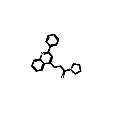 O=C(CCc1cc(-c2ccccc2)nc2ccccc12)N1CCCC1